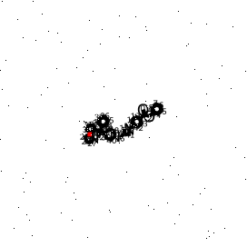 O=C(Oc1ccccc1)c1ccc(N2CC(CN3CCC(C(CN4CCCC4)(C4=CCCC4)c4ccccc4)CC3)C2)cc1